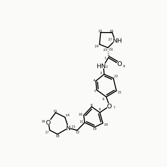 O=C(Nc1ccc(Oc2ccc(CN3CCOCC3)cc2)cc1)[C@@H]1CCCN1